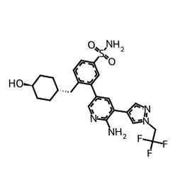 Nc1ncc(-c2cc(S(N)(=O)=O)ccc2C[C@H]2CC[C@H](O)CC2)cc1-c1cnn(CC(F)(F)F)c1